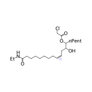 CCCCCC(OC(=O)CCl)C(O)C/C=C\CCCCCCCC(=O)NCC